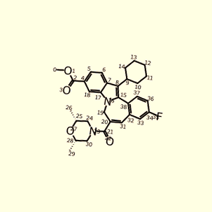 COC(=O)c1ccc2c(C3CCCCC3)c3n(c2c1)CC(C(=O)N1C[C@@H](C)O[C@@H](C)C1)=Cc1cc(F)ccc1-3